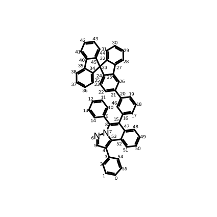 c1ccc(-c2cnn3c(-c4ccccc4)c(-c4cccc(-c5ccc6c(c5)-c5ccccc5C65c6ccccc6-c6ccccc65)c4)c4ccccc4c23)cc1